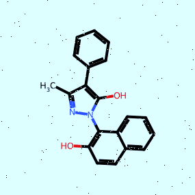 Cc1nn(-c2c(O)ccc3ccccc23)c(O)c1-c1ccccc1